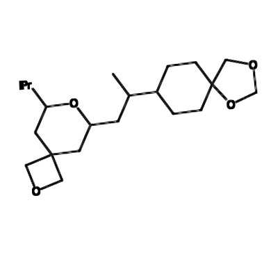 CC(C)C1CC2(COC2)CC(CC(C)C2CCC3(CC2)COCO3)O1